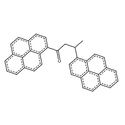 CC(CC(=O)c1ccc2ccc3cccc4ccc1c2c34)c1ccc2ccc3cccc4ccc1c2c34